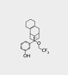 Oc1cccc(/C(OCC(F)(F)F)=C2/C3CCCC2C2=C(CCCC2)C3)c1